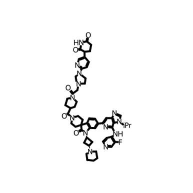 CC(C)n1cnc2cc(-c3ccc4c(c3)N([C@H]3C[C@@H](N5CCCCC5)C3)C(=O)C43CCN(C(=O)C4CCN(C(=O)CN5CCN(c6ccc(C7CCC(=O)NC7=O)cn6)CC5)CC4)CC3)nc(Nc3ccncc3F)c21